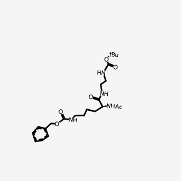 CC(=O)N[C@@H](CCCCNC(=O)OCc1ccccc1)C(=O)NCCNC(=O)OC(C)(C)C